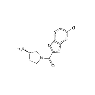 N[C@@H]1CCN(C(=O)c2cc3cc(Cl)ccc3o2)C1